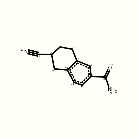 N#CC1CCc2cc(C(N)=O)ccc2C1